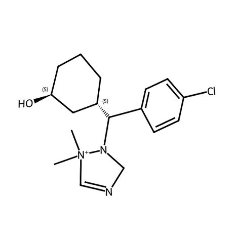 C[N+]1(C)C=NCN1C(c1ccc(Cl)cc1)[C@H]1CCC[C@H](O)C1